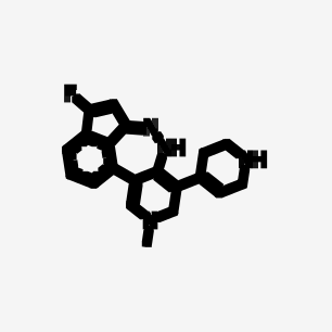 CN1C=C2C(=C(C3=CCNCC3)C1)NN=C1C=C(F)c3cccc2c31